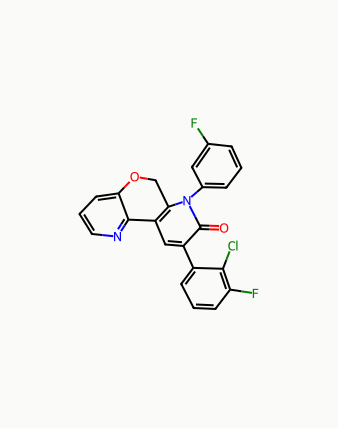 O=c1c(-c2cccc(F)c2Cl)cc2c(n1-c1cccc(F)c1)COc1cccnc1-2